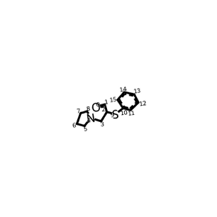 O=CC(CN1CCCC1)Sc1ccccc1